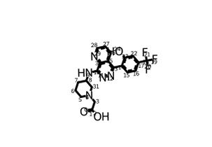 O=C(O)CN1CCCC(Nc2nnc(-c3ccc(C(F)(F)F)cc3O)c3cccnc23)C1